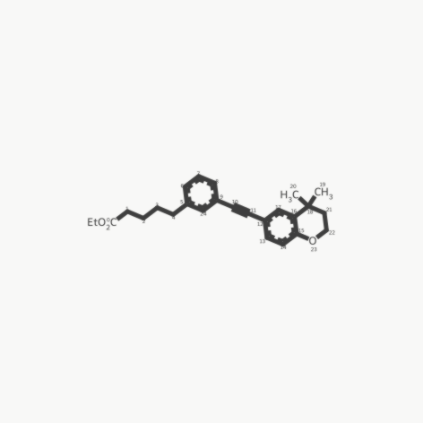 CCOC(=O)CCCCc1cccc(C#Cc2ccc3c(c2)C(C)(C)CCO3)c1